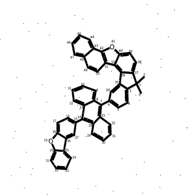 CC1(C)c2ccc(-c3c4ccccc4c(-c4ccc5oc6ccccc6c5c4)c4ccccc34)cc2-c2c1ccc1oc3c4ccccc4ccc3c21